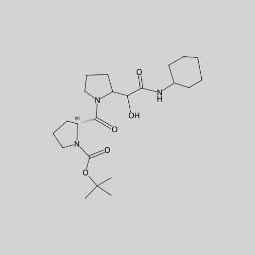 CC(C)(C)OC(=O)N1CCC[C@@H]1C(=O)N1CCCC1C(O)C(=O)NC1CCCCC1